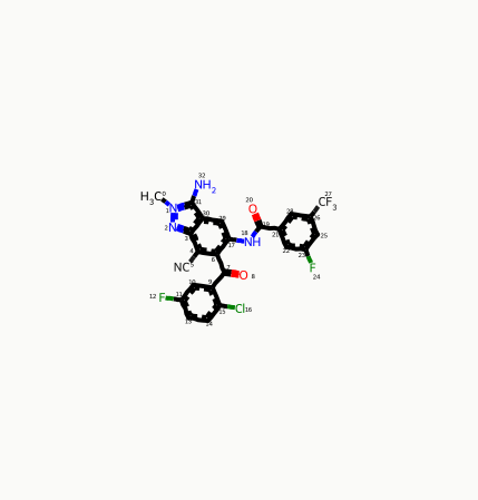 Cn1nc2c(C#N)c(C(=O)c3cc(F)ccc3Cl)c(NC(=O)c3cc(F)cc(C(F)(F)F)c3)cc2c1N